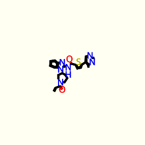 C=CC(=O)N1CCC[C@@H](n2c(NC(=O)c3ccc(-c4cncnc4C)s3)nc3ccccc32)CC1